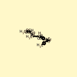 COC(=O)OC(C)ON=[N+]([O-])N(C)CCCCC(=O)NS(=O)(=O)c1ccc(-n2nc(C(F)(F)F)cc2-c2ccc(C)cc2)cc1